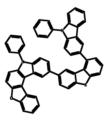 c1ccc(-n2c3ccccc3c3cc(-c4cccc5sc6ccc(-c7ccc8c(c7)c7c9c(ccc7n8-c7ccccc7)oc7ccccc79)cc6c45)ccc32)cc1